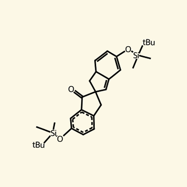 CC(C)(C)[Si](C)(C)OC1=CC2=CC3(Cc4ccc(O[Si](C)(C)C(C)(C)C)cc4C3=O)CC2C=C1